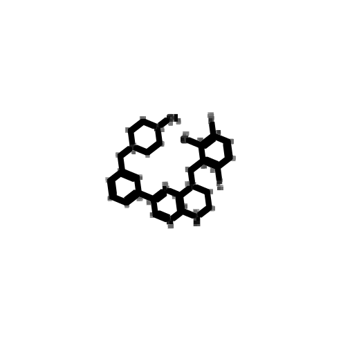 CN1CCN(Cc2cccc(-c3cnc4c(n3)N(Cc3c(F)ccc(F)c3Cl)CCN4)c2)CC1